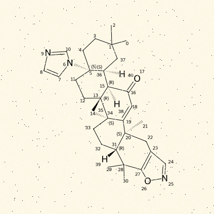 CC1(C)CC[C@]2(n3ccnc3)CC[C@]3(C)[C@H](C(=O)C=C4[C@@]5(C)Cc6cnoc6C(C)(C)[C@@H]5CC[C@]43C)[C@@H]2C1